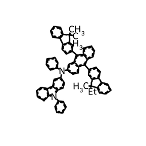 CCC1(C)c2ccccc2-c2ccc(-c3c4ccccc4c(-c4ccc5c(c4)C(C)(C)c4ccccc4-5)c4cc(N(c5ccccc5)c5ccc6c(c5)c5ccccc5n6-c5ccccc5)ccc34)cc21